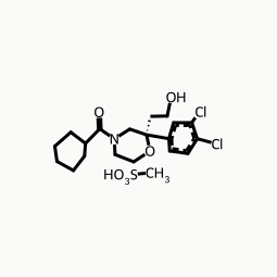 CS(=O)(=O)O.O=C(C1CCCCC1)N1CCO[C@](CCO)(c2ccc(Cl)c(Cl)c2)C1